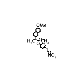 COc1ccc2cc([C@H](C)C(=O)Oc3ccc(CCO[N+](=O)[O-])nc3C)ccc2c1